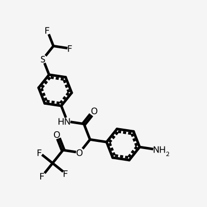 Nc1ccc(C(OC(=O)C(F)(F)F)C(=O)Nc2ccc(SC(F)F)cc2)cc1